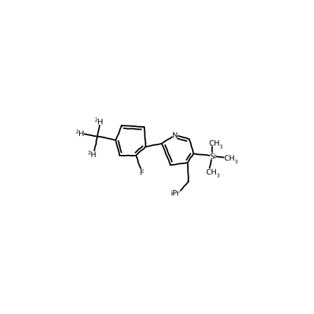 [2H]C([2H])([2H])c1ccc(-c2cc(CC(C)C)c([Si](C)(C)C)cn2)c(F)c1